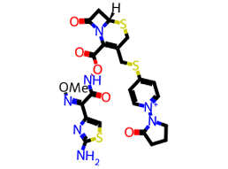 CO/N=C(\C(=O)NOC(=O)C1=C(CSc2cc[n+](N3CCCC3=O)cc2)CS[C@H]2CC(=O)N12)c1csc(N)n1